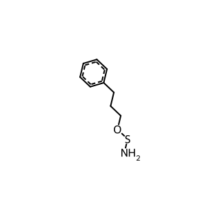 NSOCCCc1ccccc1